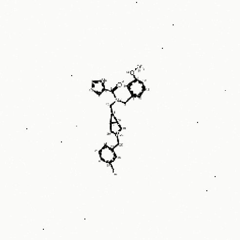 O=C(c1cscn1)N(Cc1cccc(OC(F)(F)F)c1)CC1C2CN(Cc3cccc(F)c3)CC21